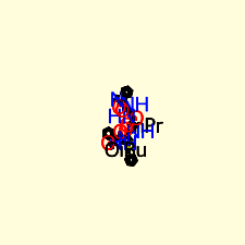 CCCC(NC(=O)C1C[C@@H](SCc2ccccc2)CN1C(=O)C(NC(=O)OCC(C)C)C1CCCCC1)C(=O)C(=O)NCC(=O)NC(C(=O)N(C)C)c1ccccc1